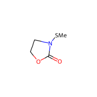 CSN1CCOC1=O